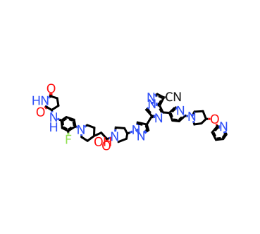 N#Cc1cnn2cc(-c3cnn(C4CCN(C(=O)CC5(O)CCN(c6ccc(NC7CCC(=O)NC7=O)cc6F)CC5)CC4)c3)nc(-c3ccc(N4CCC(Oc5ccccn5)CC4)nc3)c12